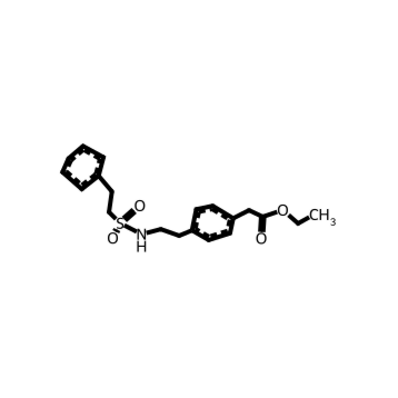 CCOC(=O)Cc1ccc(CCNS(=O)(=O)CCc2ccccc2)cc1